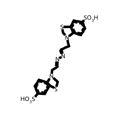 O=S(=O)(O)c1ccc2c(c1)SCN2CC=NN=CCN1CSc2cc(S(=O)(=O)O)ccc21